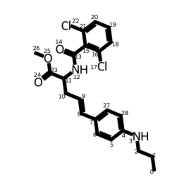 CCCNc1ccc(/C=C/CC(NC(=O)c2c(Cl)cccc2Cl)C(=O)OC)cc1